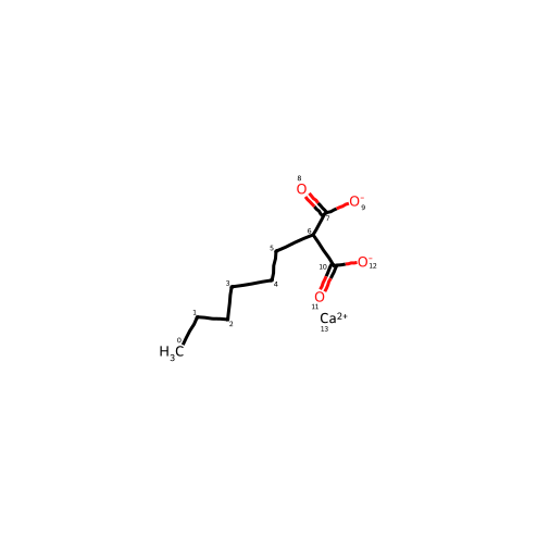 CCCCCCC(C(=O)[O-])C(=O)[O-].[Ca+2]